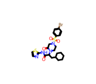 O=C(Nc1nccs1)C(CC1CCCCC1)N1CCN(S(=O)(=O)c2ccc(Br)cc2)CC1=O